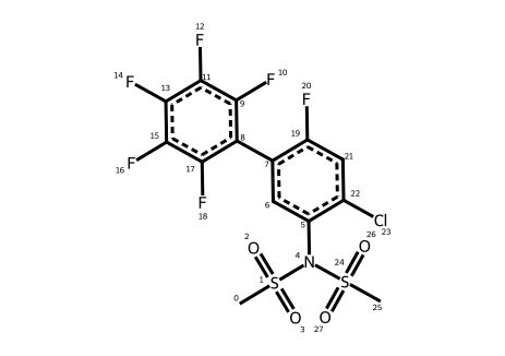 CS(=O)(=O)N(c1cc(-c2c(F)c(F)c(F)c(F)c2F)c(F)cc1Cl)S(C)(=O)=O